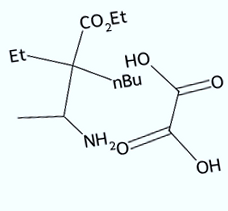 CCCCC(CC)(C(=O)OCC)C(C)N.O=C(O)C(=O)O